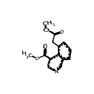 COC(=O)Cc1cccc2cncc(C(=O)OC)c12